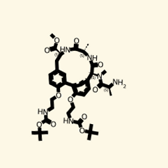 COC(=O)[C@@H]1Cc2ccc(OCCNC(=O)OC(C)(C)C)c(c2)-c2cc(ccc2OCCNC(=O)OC(C)(C)C)[C@H](N(C)C(=O)[C@H](C)N)C(=O)N[C@@H](C)C(=O)N1